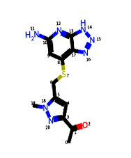 CC(=O)c1cc(CSc2cc(N)nc3[nH]nnc23)n(C)n1